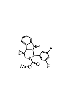 COC(=O)N1CC2(CC2)c2c([nH]c3ccccc23)C1c1cc(F)cc(F)c1